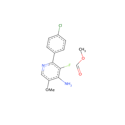 COC=O.COc1cnc(-c2ccc(Cl)cc2)c(F)c1N